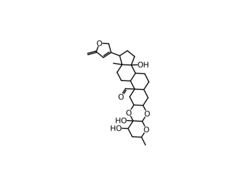 C=C1C=C(C2CCC3(O)C4CCC5CC6OC7OC(C)CC(O)C7(O)OC6CC5(C=O)C4CCC23C)CO1